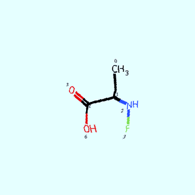 CC(NF)C(=O)O